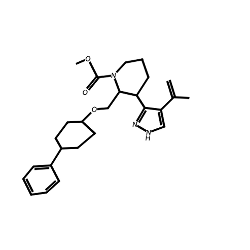 C=C(C)c1c[nH]nc1C1CCCN(C(=O)OC)C1COC1CCC(c2ccccc2)CC1